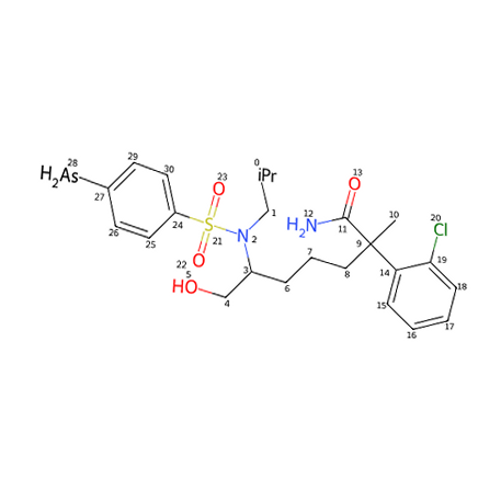 CC(C)CN(C(CO)CCCC(C)(C(N)=O)c1ccccc1Cl)S(=O)(=O)c1ccc([AsH2])cc1